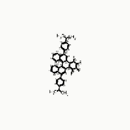 CC(C)c1ccc(-c2cc3c4c(F)c(F)c(F)c(F)c4c4cc(-c5ccc(C(C)C)cc5)c5ccccc5c4c3c3ccccc23)cc1